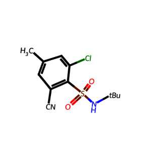 Cc1cc(Cl)c(S(=O)(=O)NC(C)(C)C)c(C#N)c1